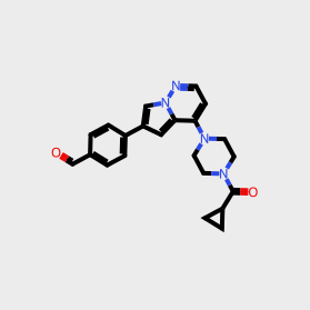 O=Cc1ccc(-c2cc3c(N4CCN(C(=O)C5CC5)CC4)ccnn3c2)cc1